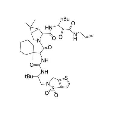 C=CCNC(=O)C(=O)C(CCCC)NC(=O)C1C2C(CN1C(=O)C(NC(=O)NC(CN1Cc3sccc3S1(=O)=O)C(C)(C)C)C1(C)CCCCC1)C2(C)C